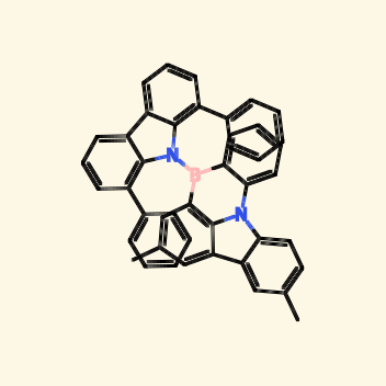 Cc1ccc2c(c1)c1cc(C)cc3c1n2-c1ccccc1B3n1c2c(-c3ccccc3)cccc2c2cccc(-c3ccccc3)c21